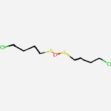 ClCCCCSOSCCCCCl